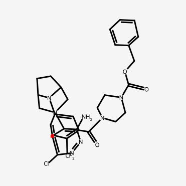 Nc1nnc(Cl)cc1N1CC2CCC(C1)N2c1ccc(C(F)(F)F)c(C(=O)N2CCN(C(=O)OCc3ccccc3)CC2)c1